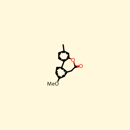 COc1ccc2c(c1)CC(=O)Oc1cc(C)ccc1-2